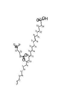 CCCCCCCCCC(CCCCCCCCC=CCCCCCC(=O)O)OC(=O)CCCN(C)C